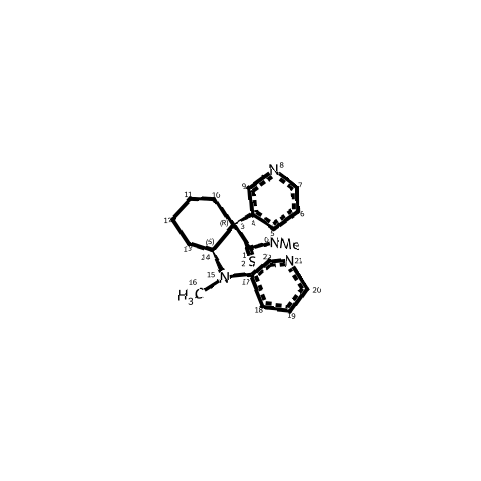 CNC(=S)[C@@]1(c2cccnc2)CCCC[C@@H]1N(C)c1cccnc1